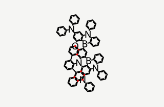 c1ccc(-c2cccc(-c3ccccc3)c2N2c3cc4c(cc3B3c5ccccc5N(c5ccccc5)c5cc(N(c6ccccc6)c6ccccc6)cc2c53)B2c3ccccc3N(c3ccccc3)c3cc(N(c5ccccc5)c5ccccc5)cc(c32)O4)cc1